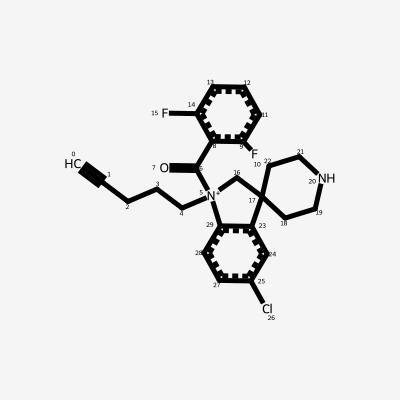 C#CCCC[N+]1(C(=O)c2c(F)cccc2F)CC2(CCNCC2)c2cc(Cl)ccc21